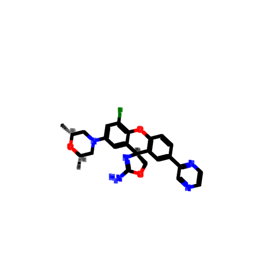 C[C@@H]1CN(c2cc(F)c3c(c2)[C@]2(COC(N)=N2)c2cc(-c4cnccn4)ccc2O3)C[C@H](C)O1